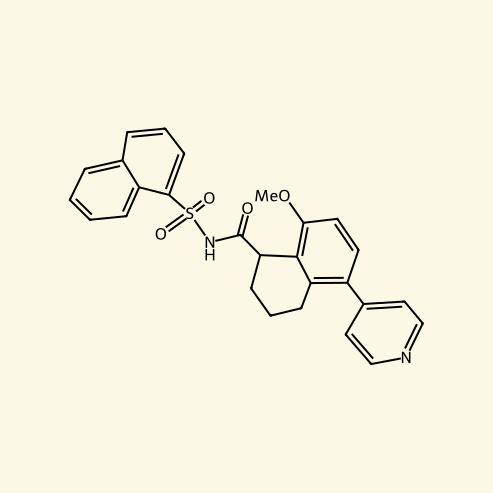 COc1ccc(-c2ccncc2)c2c1C(C(=O)NS(=O)(=O)c1cccc3ccccc13)CCC2